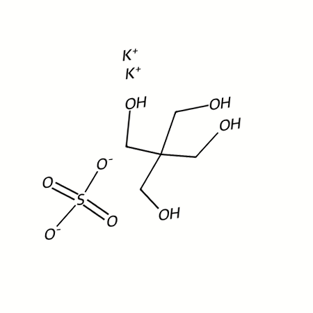 O=S(=O)([O-])[O-].OCC(CO)(CO)CO.[K+].[K+]